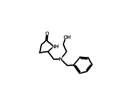 O=C1CCC(CN(CCO)Cc2ccccc2)N1